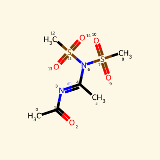 CC(=O)/N=C(\C)N(S(C)(=O)=O)S(C)(=O)=O